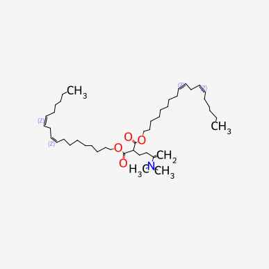 C=C(CCC(C(=O)OCCCCCCCC/C=C\C/C=C\CCCCC)C(=O)OCCCCCCCC/C=C\C/C=C\CCCCC)N(C)C